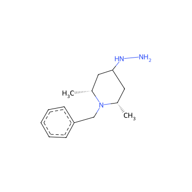 C[C@@H]1CC(NN)C[C@H](C)N1Cc1ccccc1